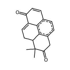 CC1(C)C(=O)Cc2ccc3c4c2C1CC=C4C(=O)C=C3